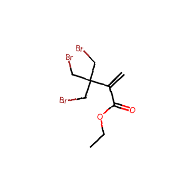 C=C(C(=O)OCC)C(CBr)(CBr)CBr